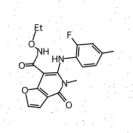 CCONC(=O)c1c(Nc2ccc(C)cc2F)n(C)c(=O)c2ccoc12